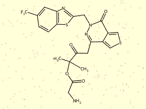 CC(C)(OC(=O)CN)C(=O)Cc1nn(Cc2nc3cc(C(F)(F)F)ccc3s2)c(=O)c2cscc12